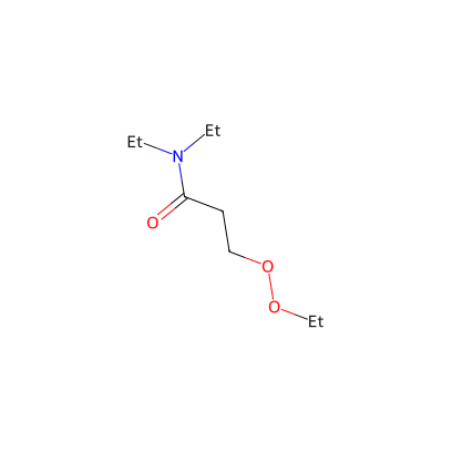 CCOOCCC(=O)N(CC)CC